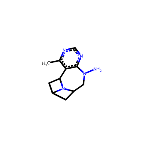 Cc1ncnc2c1C1CC3CC(CN2N)N31